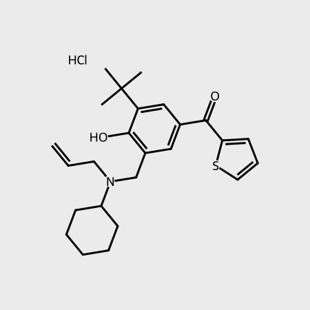 C=CCN(Cc1cc(C(=O)c2cccs2)cc(C(C)(C)C)c1O)C1CCCCC1.Cl